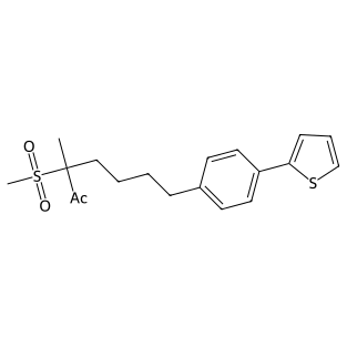 CC(=O)C(C)(CCCCc1ccc(-c2cccs2)cc1)S(C)(=O)=O